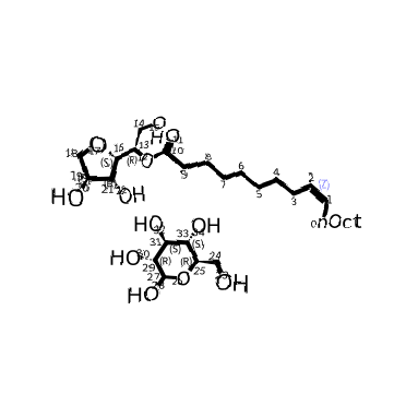 CCCCCCCC/C=C\CCCCCCCC(=O)O[C@H](CO)[C@H]1OC[C@H](O)[C@H]1O.OC[C@H]1OC(O)[C@H](O)[C@@H](O)[C@@H]1O